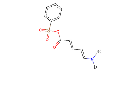 CCN(C=CC=CC(=O)OS(=O)(=O)c1ccccc1)CC